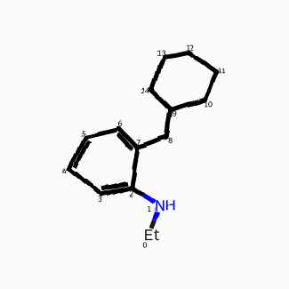 CCNc1ccccc1CC1CCCCC1